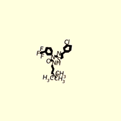 C[N+](C)(C)CCCNC(=O)N(c1cccc(C(F)(F)F)c1)c1nc(-c2cccc(Cl)c2)cs1